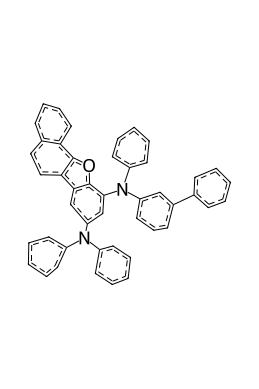 c1ccc(-c2cccc(N(c3ccccc3)c3cc(N(c4ccccc4)c4ccccc4)cc4c3oc3c5ccccc5ccc43)c2)cc1